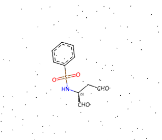 O=[C]C[C@@H]([C]=O)NS(=O)(=O)c1ccccc1